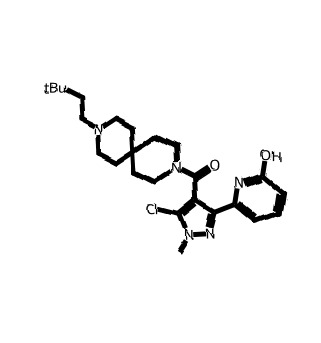 Cn1nc(-c2cccc(O)n2)c(C(=O)N2CCC3(CCN(CCC(C)(C)C)CC3)CC2)c1Cl